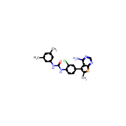 Cc1cc(C)cc(NC(=O)Nc2ccc(-c3c(C)sc4ncnc(N)c34)cc2Cl)c1